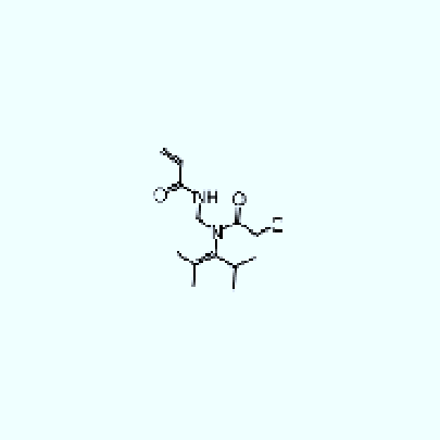 C=CC(=O)NCN(C(=O)CCl)C(=C(C)C)C(C)C